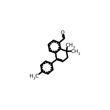 Cc1ccc(C2=CCC(C)(C)c3c(C=O)cccc32)cc1